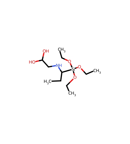 CCO[Si](OCC)(OCC)C(CC)NCC(O)O